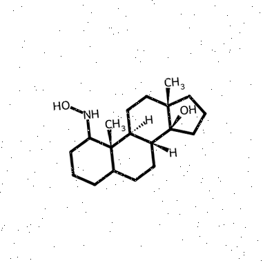 C[C@@]12C(CCCC1NO)CC[C@@H]1[C@@H]2CC[C@]2(C)CCC[C@]12O